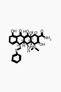 CN(C)[C@@H]1C(O)=C(C(N)=O)C(=O)[C@@]2(OI)C(O)=C3C(=O)C4=C(O)CCC=C4[C@H](CSc4ccccc4)[C@H]3[C@H](O)[C@@H]12